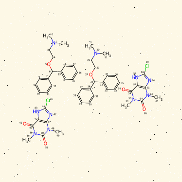 CN(C)CCOC(c1ccccc1)c1ccccc1.CN(C)CCOC(c1ccccc1)c1ccccc1.Cn1c(=O)c2[nH]c(Cl)nc2n(C)c1=O.Cn1c(=O)c2[nH]c(Cl)nc2n(C)c1=O